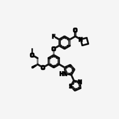 COC[C@H](C)Oc1cc(Oc2ccc(C(=O)N3CCC3)cc2F)cc(-c2ccc(-c3nccs3)[nH]2)c1